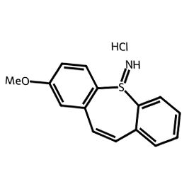 COc1ccc2c(c1)C=Cc1ccccc1S2=N.Cl